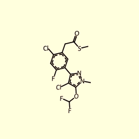 CSC(=O)Cc1cc(-c2nn(C)c(OC(F)F)c2Cl)c(F)cc1Cl